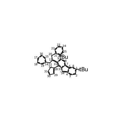 CC(C)(C)c1ccc2c(c1)=c1cc(C(C)(C)C)c(=C(Cc3ccccc3)Cc3ccccc3)c(C3=CC=CC3)c1[C]=2